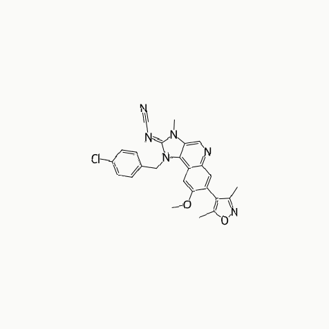 COc1cc2c(cc1-c1c(C)noc1C)ncc1c2n(Cc2ccc(Cl)cc2)c(=NC#N)n1C